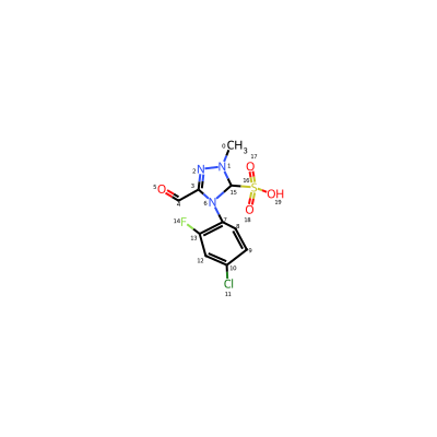 CN1N=C(C=O)N(c2ccc(Cl)cc2F)C1S(=O)(=O)O